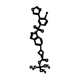 CC(C)(C)OC(=O)N1CC(c2ccc3c(cnn3S(=O)(=O)c3ccc(F)c(-c4cocn4)c3)c2)C1